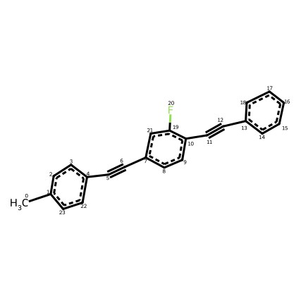 Cc1ccc(C#Cc2ccc(C#Cc3ccccc3)c(F)c2)cc1